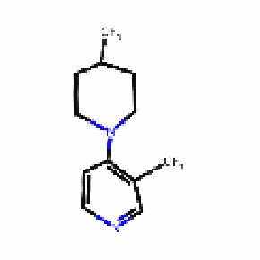 FC(F)(F)c1cnccc1N1CCC(C(F)(F)F)CC1